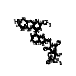 Cc1nc(C(F)(F)F)cc(-c2ccnc3cc(CN4C(=O)C5C(C)(C)C5(OC(=O)C(F)(F)F)C4=O)sc23)c1CN1CCNCC1